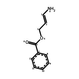 NC=CCOC(=O)c1ccccc1